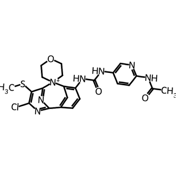 CSc1c(Cl)nc2nc1[N+]1(CCOCC1)c1cc-2ccc1NC(=O)Nc1ccc(NC(C)=O)nc1